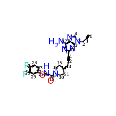 C#CCn1cnc2c(N)nc(C#CCC3CCN(C(=O)NOc4ccc(F)c(F)c4)CC3)nc21